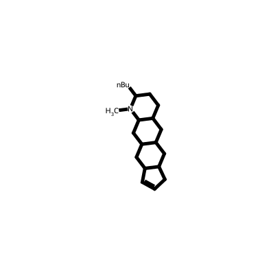 CCCCC1CCC2CC3CC4CC=CC4CC3CC2N1C